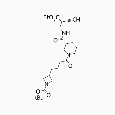 C#C[C@@H](CNC(=O)[C@@H]1CCCN(C(=O)CCCC2CN(C(=O)OC(C)(C)C)C2)C1)C(=O)OCC